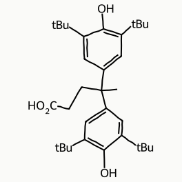 CC(C)(C)c1cc(C(C)(CCC(=O)O)c2cc(C(C)(C)C)c(O)c(C(C)(C)C)c2)cc(C(C)(C)C)c1O